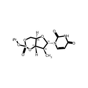 CC(C)OP1(=O)OC[C@H]2O[C@H](n3ccc(=O)[nH]c3=O)[C@@H](C)[C@@H]2O1